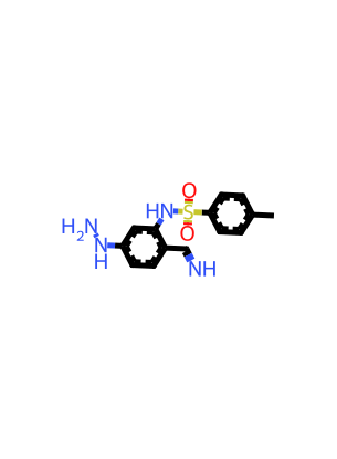 Cc1ccc(S(=O)(=O)Nc2cc(NN)ccc2C=N)cc1